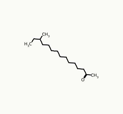 CCC(C)CCCCCCCCCCC(C)=O